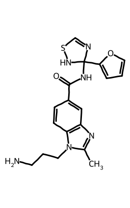 Cc1nc2cc(C(=O)NC3(c4ccco4)N=CSN3)ccc2n1CCCN